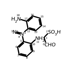 O=CCS(=O)(=O)O.[N-]=[N+](c1ccccc1N)c1ccccc1N